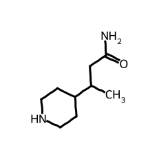 CC(CC(N)=O)C1CCNCC1